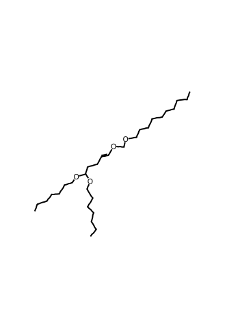 CCCCCCCCCCOCOC=CCCC(OCCCCCCC)OCCCCCCC